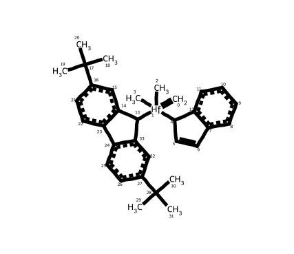 [CH2]=[Hf]([CH3])([CH3])([CH]1C=Cc2ccccc21)[CH]1c2cc(C(C)(C)C)ccc2-c2ccc(C(C)(C)C)cc21